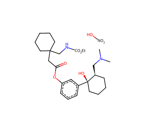 CCOC(=O)NCC1(CC(=O)Oc2cccc([C@@]3(O)CCCC[C@@H]3CN(C)C)c2)CCCCC1.O=[N+]([O-])O